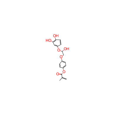 C=C(C)C(=O)Oc1ccc(OCC(O)Oc2ccc(O)c(O)c2)cc1